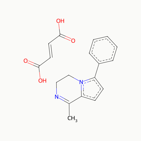 CC1=NCCn2c1ccc2-c1ccccc1.O=C(O)C=CC(=O)O